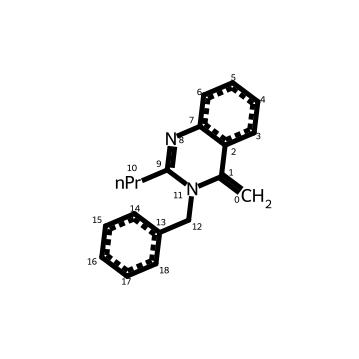 C=C1c2ccccc2N=C(CCC)N1Cc1ccccc1